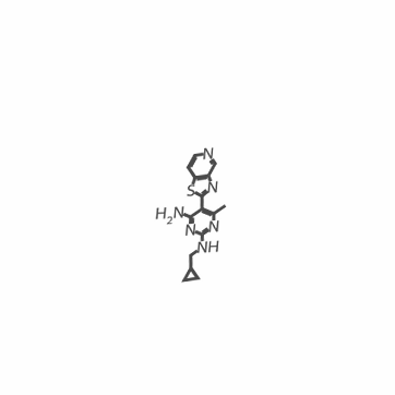 Cc1nc(NCC2CC2)nc(N)c1-c1nc2cnccc2s1